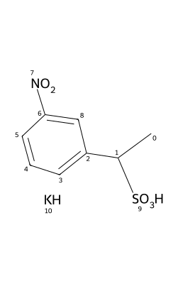 CC(c1cccc([N+](=O)[O-])c1)S(=O)(=O)O.[KH]